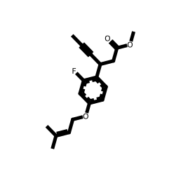 CC#CC(CC(=O)OC)c1ccc(OCC=C(C)C)cc1F